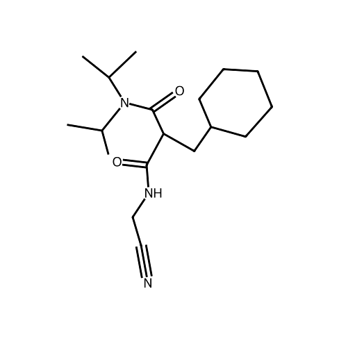 CC(C)N(C(=O)C(CC1CCCCC1)C(=O)NCC#N)C(C)C